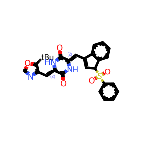 CC(C)(C)c1ocnc1/C=c1\[nH]c(=O)/c(=C/C2=CC(S(=O)(=O)c3ccccc3)c3ccccc32)[nH]c1=O